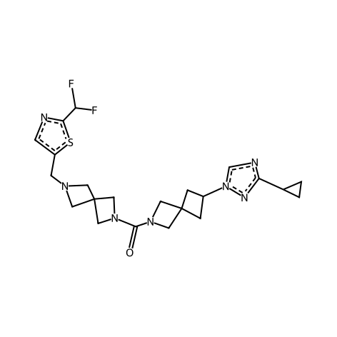 O=C(N1CC2(CC(n3cnc(C4CC4)n3)C2)C1)N1CC2(CN(Cc3cnc(C(F)F)s3)C2)C1